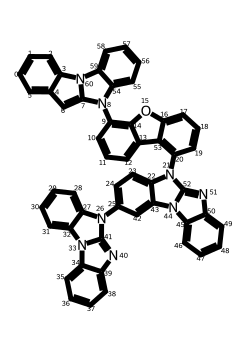 c1ccc2c(c1)cc1n(-c3cccc4c3oc3cccc(-n5c6ccc(-n7c8ccccc8n8c9ccccc9nc78)cc6n6c7ccccc7nc56)c34)c3ccccc3n21